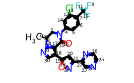 C[C@H]1CN(c2ccc(C(F)(F)F)c(Cl)c2)C(=O)c2c(-c3cc(-c4cnccn4)no3)cnn21